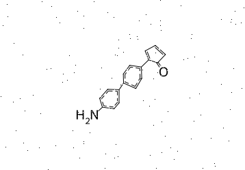 Nc1ccc(-c2ccc(C3=CC=CC3=O)cc2)cc1